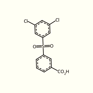 O=C(O)c1cccc(S(=O)(=O)c2cc(Cl)cc(Cl)c2)c1